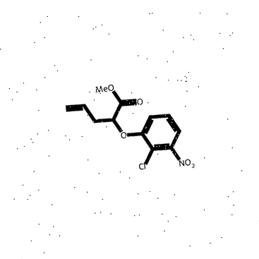 C=CCC(Oc1cccc([N+](=O)[O-])c1Cl)C(=O)OC